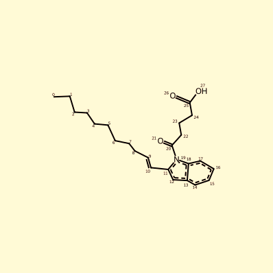 CCCCCCCCC/C=C/c1cc2ccccc2n1C(=O)CCCC(=O)O